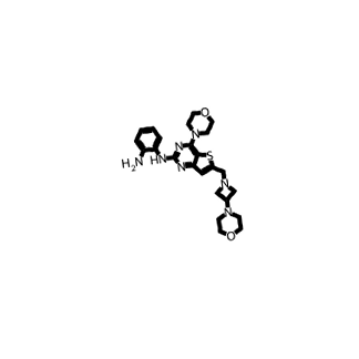 Nc1ccccc1Nc1nc(N2CCOCC2)c2sc(CN3CC(N4CCOCC4)C3)cc2n1